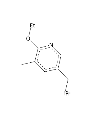 CCOc1ncc(CC(C)C)cc1C